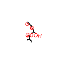 CC=C(C)C(=O)OCC(CO)COCC1CO1